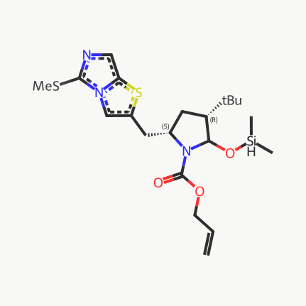 C=CCOC(=O)N1C(O[SiH](C)C)[C@@H](C(C)(C)C)C[C@H]1Cc1cn2c(SC)ncc2s1